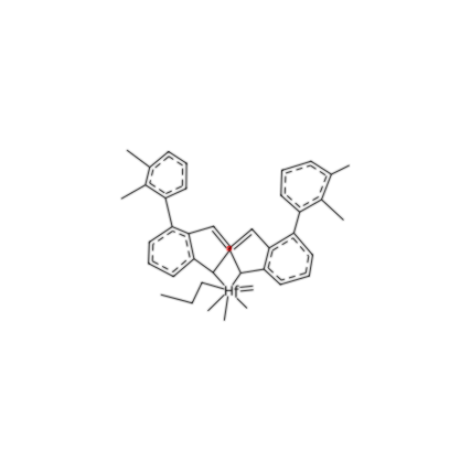 [CH2]=[Hf]([CH3])([CH3])([CH3])([CH2]CC)([CH]1C=Cc2c(-c3cccc(C)c3C)cccc21)[CH]1C=Cc2c(-c3cccc(C)c3C)cccc21